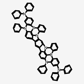 c1ccc(N(c2ccccc2)c2ccc3c(c2)N(c2ccccc2)c2ccc4c5cc6c7ccc8c9c7n(c6cc5n5c4c2B3c2ccccc2-5)-c2ccccc2B9c2ccc(N(c3ccccc3)c3ccccc3)cc2N8c2ccccc2)cc1